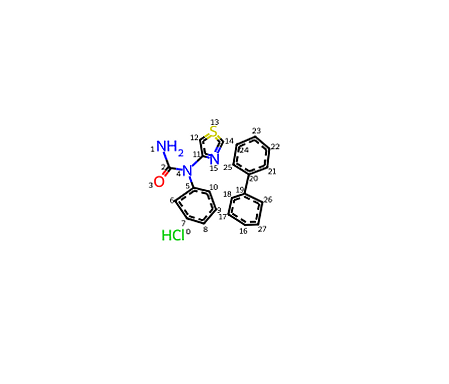 Cl.NC(=O)N(c1ccccc1)c1cscn1.c1ccc(-c2ccccc2)cc1